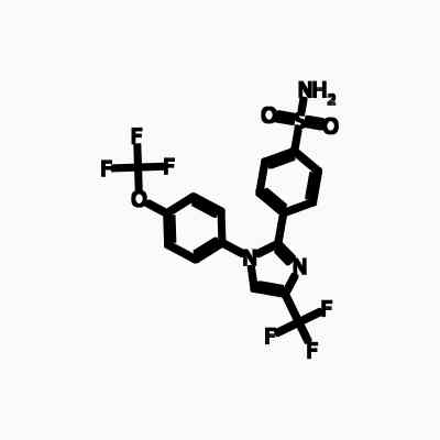 NS(=O)(=O)c1ccc(-c2nc(C(F)(F)F)cn2-c2ccc(OC(F)(F)F)cc2)cc1